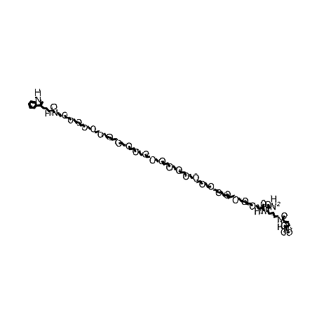 NC(=O)C(CCCCNC(=O)c1ccc([N+](=O)[O-])o1)NC(=O)CCOCCOCCOCCOCCOCCOCCOCCOCCOCCOCCOCCOCCOCCOCCOCCOCCOCCOCCOCCOCCOCCOCCOCCOCCNC(=O)CCCc1c[nH]c2ccccc12